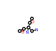 N#Cc1cccc(-c2cc(-c3ccc4c(c3)oc3ccccc34)cc(-c3ccc4c(c3)oc3ccccc34)c2C#N)c1